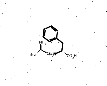 CC[C@@H](C)[C@@H](N)C(=O)O.N[C@H](Cc1ccccc1)C(=O)O